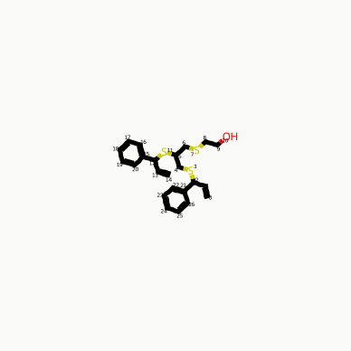 C=CC(SCC(CSCCO)SC(C=C)c1ccccc1)c1ccccc1